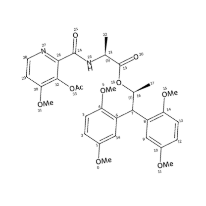 COc1ccc(OC)c(C(c2cc(OC)ccc2OC)[C@H](C)OC(=O)[C@H](C)NC(=O)c2nccc(OC)c2OC(C)=O)c1